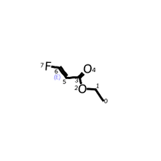 CCOC(=O)/C=C/F